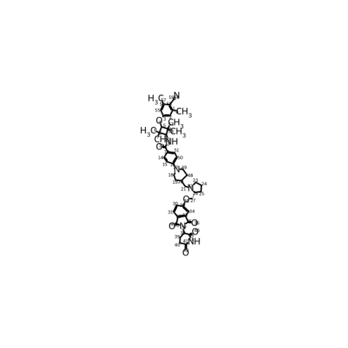 Cc1cc(OC2C(C)(C)C(NC(=O)c3ccc(N4CCC(CN5CCC[C@@H]5COc5ccc6c(c5)C(=O)N(C5CCC(=O)NC5=O)C6=O)CC4)cc3)C2(C)C)cc(C)c1C#N